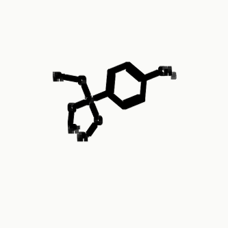 Cc1cc[c]([Zr]([O]C(C)C)([O]C(C)C)[O]C(C)C)cc1